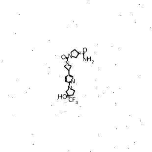 NC(=O)[C@H]1CCN(C(=O)N2CC(c3ccc(N4CC[C@@](O)(C(F)(F)F)C4)nc3)C2)C1